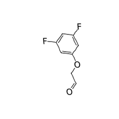 O=CCOc1cc(F)cc(F)c1